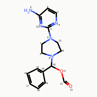 Nc1ccnc(N2CCN(C(OC=O)c3ccccc3)CC2)n1